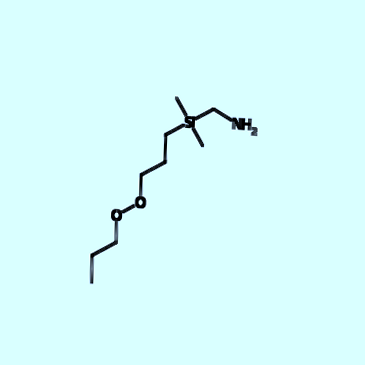 CCCOOCCC[Si](C)(C)CN